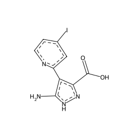 Nc1[nH]nc(C(=O)O)c1-c1cc(I)ccn1